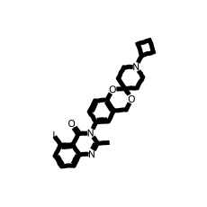 Cc1nc2cccc(I)c2c(=O)n1-c1ccc2c(c1)COC1(CCN(C3CCC3)CC1)O2